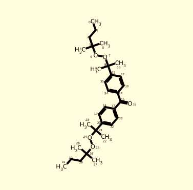 CCCC(C)(C)OOC(C)(C)c1ccc(C(=O)c2ccc(C(C)(C)OOC(C)(C)CCC)cc2)cc1